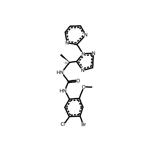 COc1cc(Br)c(Cl)cc1NC(=O)N[C@@H](C)c1ncnn1-c1ncccn1